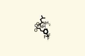 CC(C)CC(N)C(=O)NC(Cc1cccc(C(F)(F)F)c1)C(=O)O